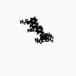 COc1cccc2nc(C3=CC=C(CO[Si](C)(C)C(C)(C)C)SS3)c(O)nc12